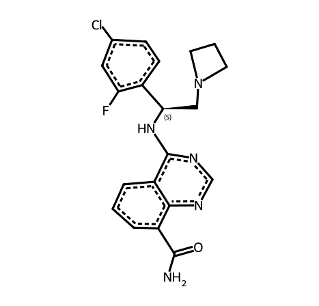 NC(=O)c1cccc2c(N[C@H](CN3CCC3)c3ccc(Cl)cc3F)ncnc12